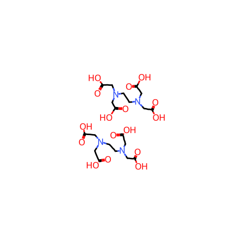 O=C(O)CN(CCN(CC(=O)O)CC(=O)O)CC(=O)O.O=C(O)CN(CCN(CC(=O)O)CC(=O)O)CC(=O)O